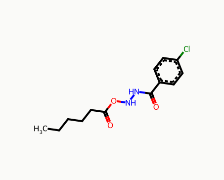 CCCCCC(=O)ONNC(=O)c1ccc(Cl)cc1